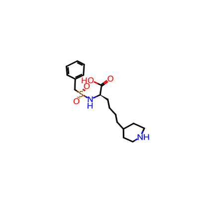 O=C(O)[C@@H](CCCCC1CCNCC1)NS(=O)(=O)Cc1ccccc1